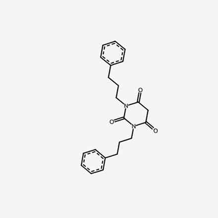 O=C1CC(=O)N(CCCc2ccccc2)C(=O)N1CCCc1ccccc1